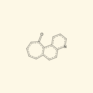 O=c1ccccc2ccc3ncccc3c12